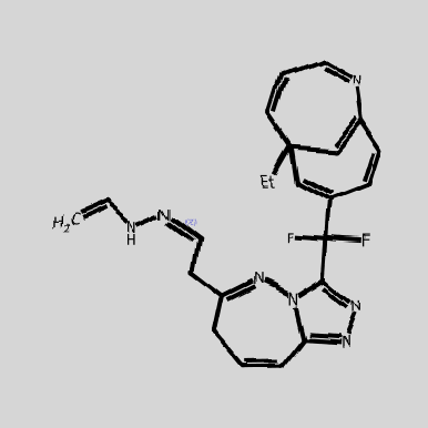 C=CN/N=C\CC1=Nn2c(nnc2C(F)(F)C2=CC3(CC)C=CC=NC(=C3)C=C2)C=CC1